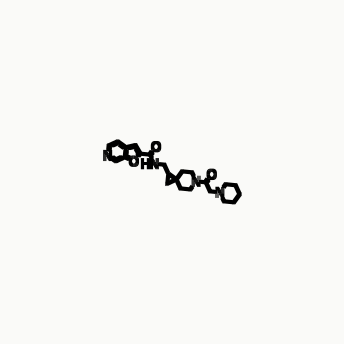 O=C(NCC1CC12CCN(C(=O)CN1CCCCC1)CC2)c1cc2ccncc2o1